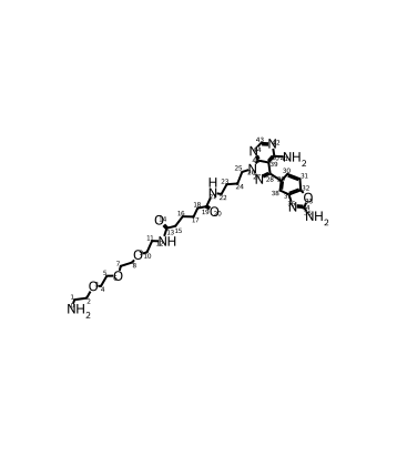 NCCOCCOCCOCCNC(=O)CCCCC(=O)NCCCCn1nc(-c2ccc3oc(N)nc3c2)c2c(N)ncnc21